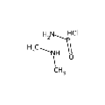 CNC.Cl.NP=O